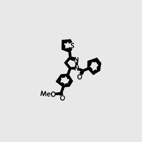 COC(=O)c1ccc(C2CC(c3cccs3)=NN2C(=O)c2ccccc2)cc1